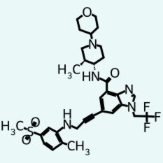 Cc1ccc(S(C)(=O)=O)cc1NCC#Cc1cc(C(=O)N[C@H]2CCN(C3CCOCC3)C[C@@H]2C)c2ncn(CC(F)(F)F)c2c1